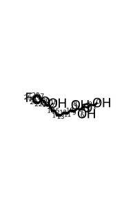 OCCOC[C@H](O)[C@H](O)/C=C/C=C/C=C\C=C\[C@H](O)COc1ccc(F)cc1